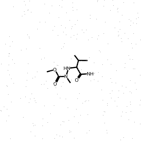 COC(=O)N(C)NC(C([NH])=O)C(C)C